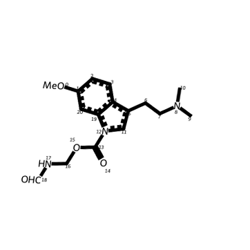 COc1ccc2c(CCN(C)C)cn(C(=O)OCNC=O)c2c1